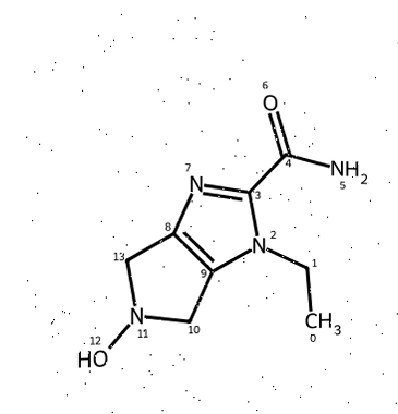 CCn1c(C(N)=O)nc2c1CN(O)C2